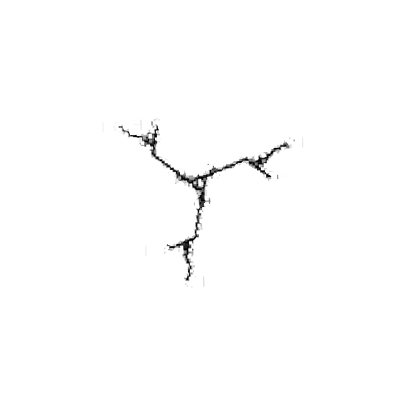 CCCCCC#CCOC(=O)OC(C/C=C\CCCCCCCCOC(=O)CCN1CCN(CCC(=O)OCCCCCCCC/C=C\CC(CCCCCC)OC(=O)OCC#CCCCCC)CCN(CCC(=O)OCCCCCCCC/C=C\CC(CCCCCC)OC(=O)OCC#CCCCCC)CC1)CCCCCC